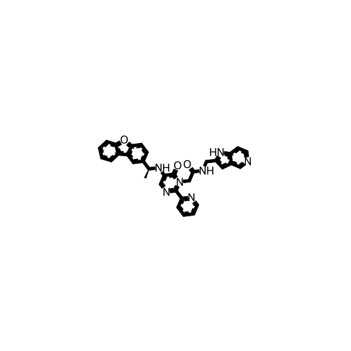 C[C@H](Nc1cnc(-c2ccccn2)n(CC(=O)NCc2cc3cnccc3[nH]2)c1=O)c1ccc2oc3ccccc3c2c1